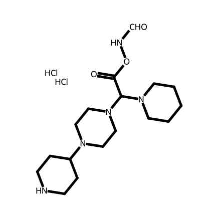 Cl.Cl.O=CNOC(=O)C(N1CCCCC1)N1CCN(C2CCNCC2)CC1